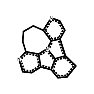 c1cc2c3ccnc4c3n3c5c(nccc5c(c1)c23)CCC4